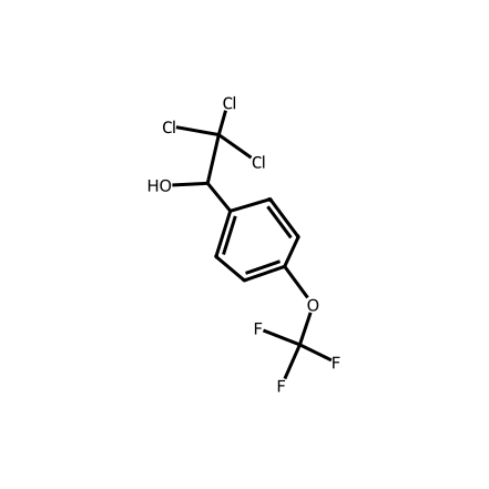 OC(c1ccc(OC(F)(F)F)cc1)C(Cl)(Cl)Cl